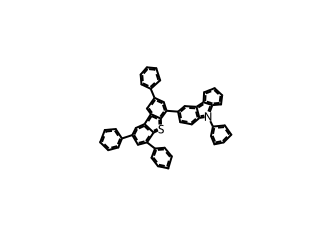 c1ccc(-c2cc(-c3ccccc3)c3sc4c(-c5ccc6c(c5)c5ccccc5n6-c5ccccc5)cc(-c5ccccc5)cc4c3c2)cc1